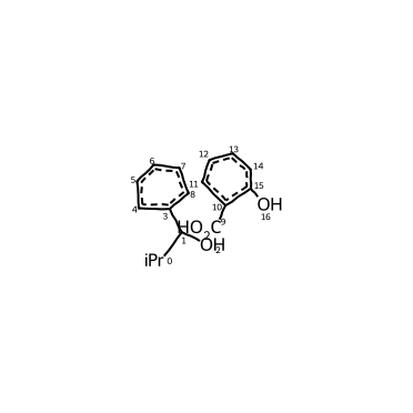 CC(C)C(O)c1ccccc1.O=C(O)c1ccccc1O